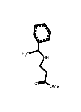 COC(=O)CCNC(C)c1ccccc1